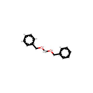 c1ccc(C[O][Ti][O]Cc2ccccc2)cc1